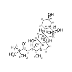 C[C@H](CCC(=O)C(C)(C)C)[C@H]1CC[C@H]2[C@@H]3C[C@H](O)[C@@H]4C[C@H](O)CC[C@]4(C)[C@H]3C[C@H](O)[C@]12C